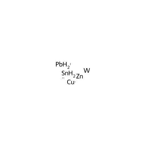 [Cu].[PbH2].[SnH2].[W].[Zn]